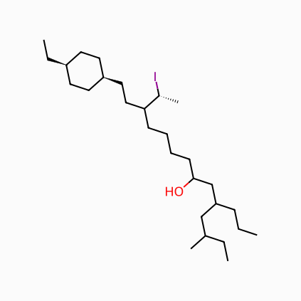 CCCC(CC(C)CC)CC(O)CCCCC(CC[C@H]1CC[C@@H](CC)CC1)[C@@H](C)I